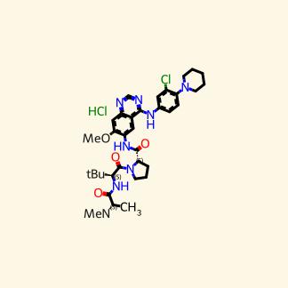 CN[C@@H](C)C(=O)N[C@H](C(=O)N1CCC[C@H]1C(=O)Nc1cc2c(Nc3ccc(N4CCCCC4)c(Cl)c3)ncnc2cc1OC)C(C)(C)C.Cl